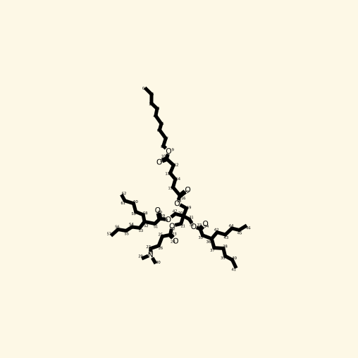 CCCCCCCCCOC(=O)CCCCC(=O)OCC(COC(=O)CCCN(C)C)(COC(=O)CC(CCCCC)CCCCC)COC(=O)CC(CCCCC)CCCCC